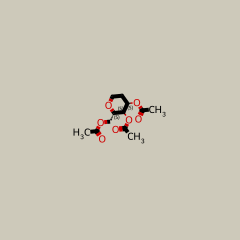 CC(=O)OC[C@@H]1OCC[C@H](OC(C)=O)[C@@H]1OC(C)=O